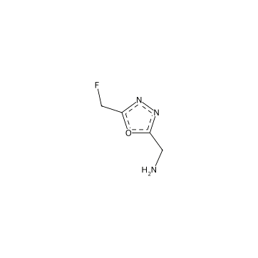 NCc1nnc(CF)o1